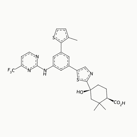 Cc1ccsc1-c1cc(Nc2nccc(C(F)(F)F)n2)cc(-c2cnc([C@]3(O)CC[C@@H](C(=O)O)C(C)(C)C3)s2)c1